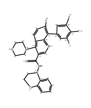 O=C(NN1CCOc2ccccc21)c1cnc2c(-c3cc(F)c(F)c(F)c3)c(F)ccc2c1N1CCOCC1